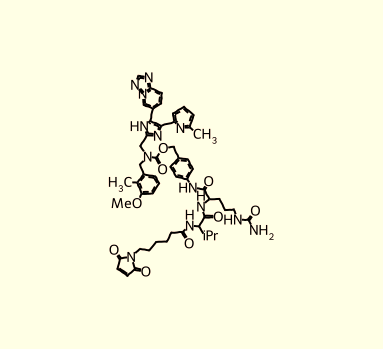 COc1cccc(CN(Cc2nc(-c3cccc(C)n3)c(-c3ccc4ncnn4c3)[nH]2)C(=O)OCc2ccc(NC(=O)C(CCCNC(N)=O)NC(=O)C(NC(=O)CCCCCN3C(=O)C=CC3=O)C(C)C)cc2)c1C